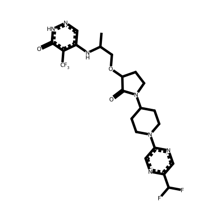 CC(COC1CCN(C2CCN(c3cnc(C(F)F)cn3)CC2)C1=O)Nc1cn[nH]c(=O)c1C(F)(F)F